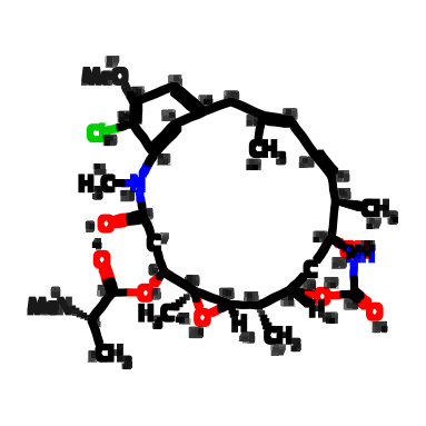 CN[C@@H](C)C(=O)O[C@H]1CC(=O)N(C)c2cc(cc(OC)c2Cl)C/C(C)=C/C=C/[C@@H](C)[C@@]2(O)C[C@H](OC(=O)N2)[C@H](C)[C@H]2O[C@@]12C